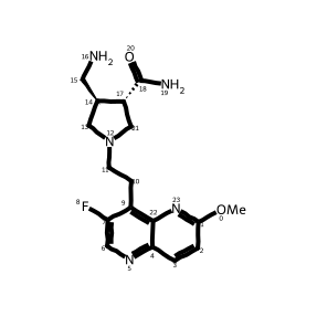 COc1ccc2ncc(F)c(CCN3C[C@@H](CN)[C@H](C(N)=O)C3)c2n1